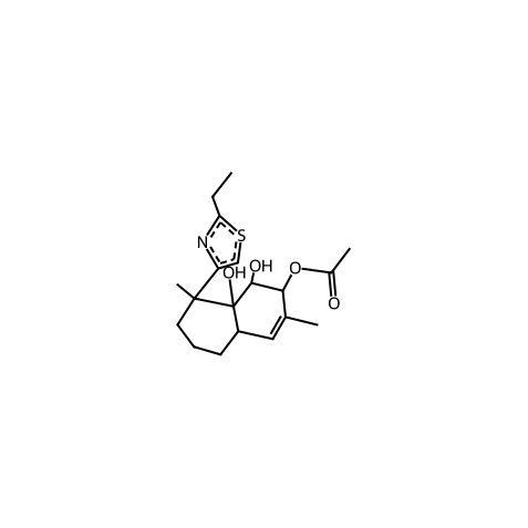 CCc1nc(C2(C)CCCC3C=C(C)C(OC(C)=O)C(O)C32O)cs1